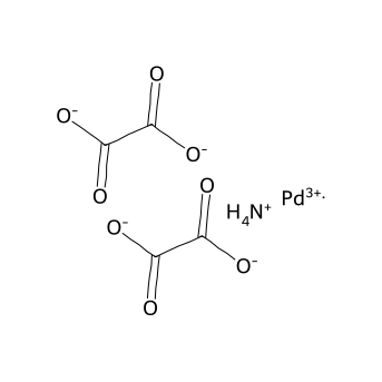 O=C([O-])C(=O)[O-].O=C([O-])C(=O)[O-].[NH4+].[Pd+3]